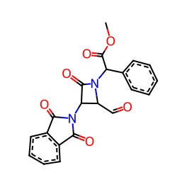 COC(=O)C(c1ccccc1)N1C(=O)C(N2C(=O)c3ccccc3C2=O)C1C=O